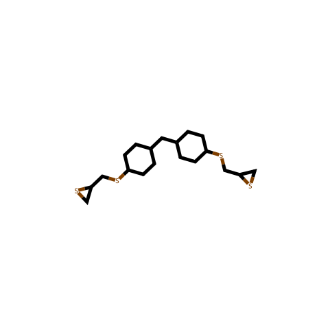 C1CC(SCC2CS2)CCC1CC1CCC(SCC2CS2)CC1